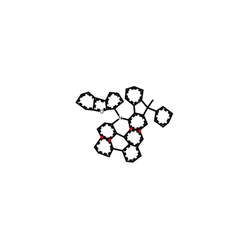 CC1(c2ccccc2)c2ccccc2-c2c(N(c3ccccc3-c3cccc4cccc(-c5ccccc5)c34)c3cccc4c3oc3ccccc34)cccc21